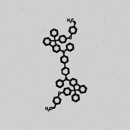 C=Cc1ccc(Oc2ccc(C3(c4ccccc4)c4ccccc4-c4ccc(N(c5ccccc5)c5ccc(C6=CCC(N(c7ccccc7)c7ccc8c(c7)C(c7ccccc7)(c7ccc(Oc9ccc(C=C)cc9)cc7)c7ccccc7-8)C=C6)cc5)cc43)cc2)cc1